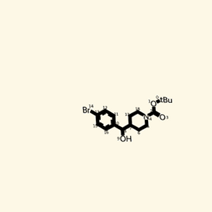 CC(C)(C)OC(=O)N1CCC(C(O)c2ccc(Br)cc2)CC1